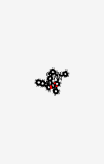 c1ccc(-c2ccc(-c3nc(-c4ccccc4)nc(-c4cccc5oc6cc(-n7c8ccccc8c8cc9ccccc9cc87)c(-c7ccccc7)cc6c45)n3)cc2)cc1